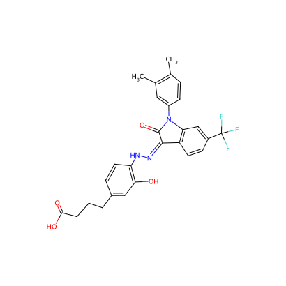 Cc1ccc(N2C(=O)/C(=N\Nc3ccc(CCCC(=O)O)cc3O)c3ccc(C(F)(F)F)cc32)cc1C